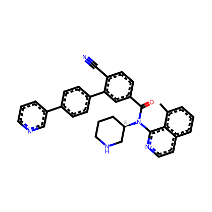 Cc1cccc2ccnc(N(C(=O)c3ccc(C#N)c(-c4ccc(-c5cccnc5)cc4)c3)[C@@H]3CCCNC3)c12